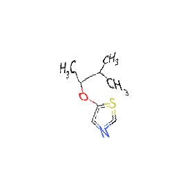 CC(C)C(C)Oc1cncs1